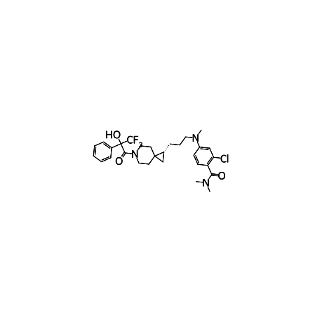 CN(C)C(=O)c1ccc(N(C)CCC[C@@H]2CC23CCN(C(=O)C(O)(c2ccccc2)C(F)(F)F)CC3)cc1Cl